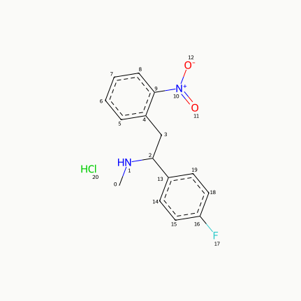 CNC(Cc1ccccc1[N+](=O)[O-])c1ccc(F)cc1.Cl